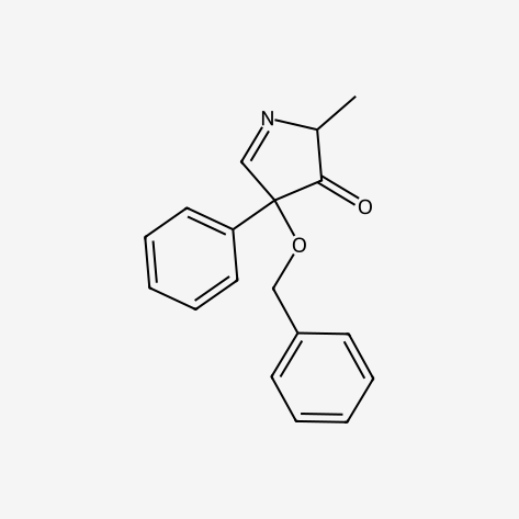 CC1N=CC(OCc2ccccc2)(c2ccccc2)C1=O